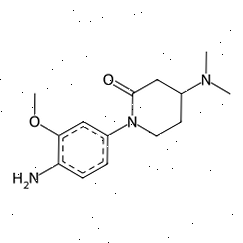 COc1cc(N2CCC(N(C)C)CC2=O)ccc1N